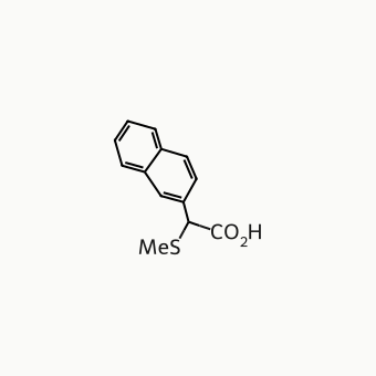 CSC(C(=O)O)c1ccc2ccccc2c1